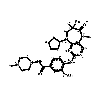 COc1cc(C(=O)NN2CCN(C)CC2)ccc1Nc1ncc2c(n1)N(C1CCCC1)CC(F)(F)C(=O)N2C